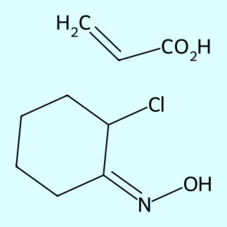 C=CC(=O)O.O/N=C1/CCCCC1Cl